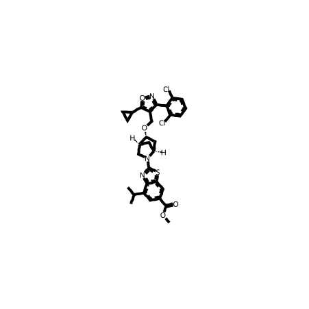 COC(=O)c1cc(C(C)C)c2nc(N3C[C@@H]4C[C@H]3C[C@H]4OCc3c(-c4c(Cl)cccc4Cl)noc3C3CC3)sc2c1